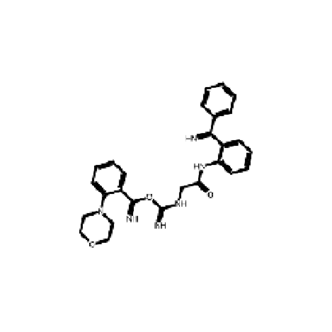 N=C(NCC(=O)Nc1ccccc1C(=N)c1ccccc1)OC(=N)c1ccccc1N1CCOCC1